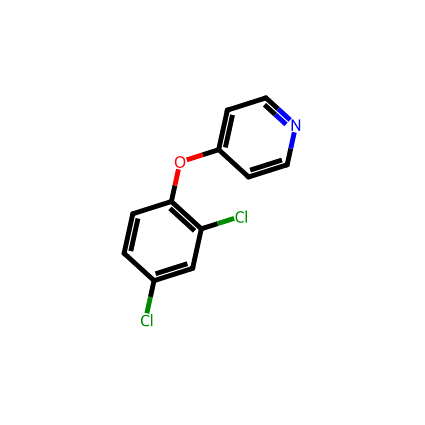 Clc1ccc(Oc2ccncc2)c(Cl)c1